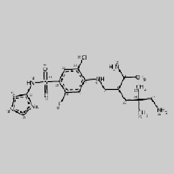 CC(N)C(CNc1cc(F)c(S(=O)(=O)Nc2ncns2)cc1Cl)CC(C)(C)CN